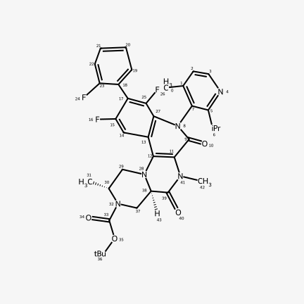 Cc1ccnc(C(C)C)c1-n1c(=O)c2c(c3cc(F)c(-c4ccccc4F)c(F)c31)N1C[C@@H](C)N(C(=O)OC(C)(C)C)C[C@@H]1C(=O)N2C